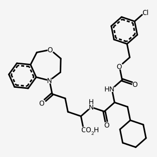 O=C(NC(CC1CCCCC1)C(=O)NC(CCC(=O)N1CCOCc2ccccc21)C(=O)O)OCc1cccc(Cl)c1